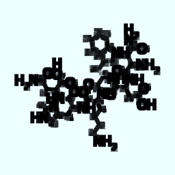 NCCCC[C@H](NC(=O)[C@H](Cc1c[nH]c2ccccc12)NC(=O)[C@H](CC(=O)O)NC(=O)[C@@H](N)CC(N)=O)C(=O)N[C@@H](Cc1c[nH]cn1)C(=O)N[C@@H](CC(N)=O)C(=O)O